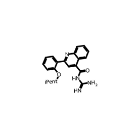 CCCC(C)Oc1ccccc1-c1cc(C(=O)NC(=N)N)c2ccccc2n1